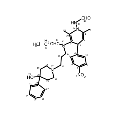 CC1=CC(c2ccc([N+](=O)[O-])cc2)C(N(C=O)CCCN2CCC(O)(c3ccccc3)CC2)=C(C)N1NC=O.Cl.O